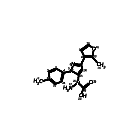 Cc1ccc(-n2nc(-c3ccoc3C)cc2N(N)C(=O)O)cc1